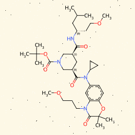 COCCCN1C(=O)C(C)(C)Oc2ccc(N(C(=O)[C@@H]3C[C@H](C(=O)N[C@@H](CCOC)CC(C)C)CN(C(=O)OC(C)(C)C)C3)C3CC3)cc21